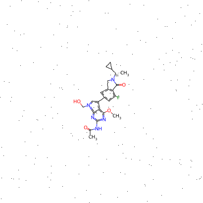 COc1nc(NC(C)=O)nc2c1c(-c1cc(F)c3c(c1)CN([C@@H](C)C1CC1)C3=O)cn2CO